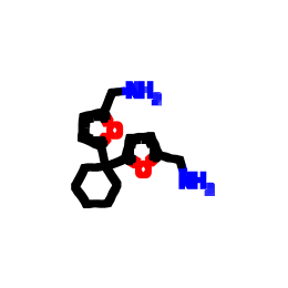 NCc1ccc(C2(c3ccc(CN)o3)CCCCC2)o1